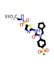 CCOC(=O)CNS(=O)(=O)c1cnc(NC(=O)N(CC2CCCC2)c2ccc(S(C)(=O)=O)cc2)s1